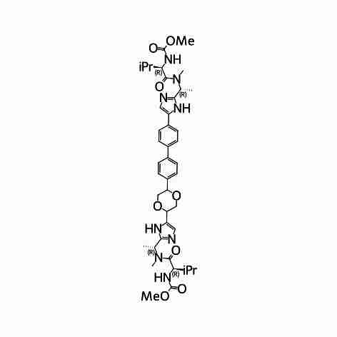 COC(=O)N[C@@H](C(=O)N(C)[C@H](C)c1ncc(-c2ccc(-c3ccc(C4COC(c5cnc([C@@H](C)N(C)C(=O)[C@H](NC(=O)OC)C(C)C)[nH]5)CO4)cc3)cc2)[nH]1)C(C)C